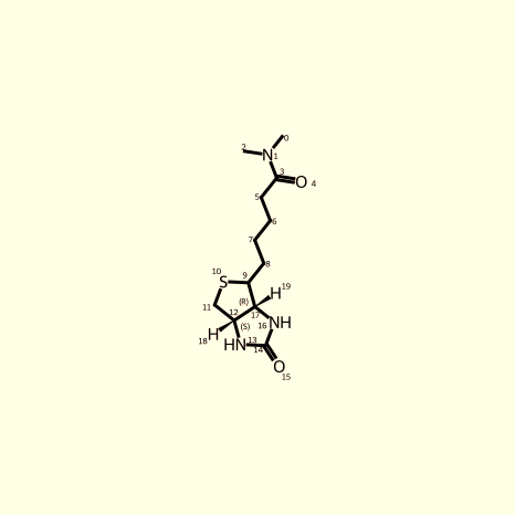 CN(C)C(=O)CCCCC1SC[C@H]2NC(=O)N[C@@H]12